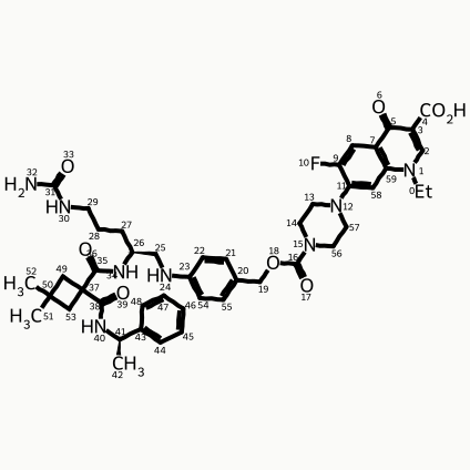 CCn1cc(C(=O)O)c(=O)c2cc(F)c(N3CCN(C(=O)OCc4ccc(NC[C@H](CCCNC(N)=O)NC(=O)C5(C(=O)N[C@H](C)c6ccccc6)CC(C)(C)C5)cc4)CC3)cc21